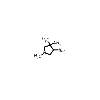 CN1CC(C(C)(C)C)C(C)(C)C1